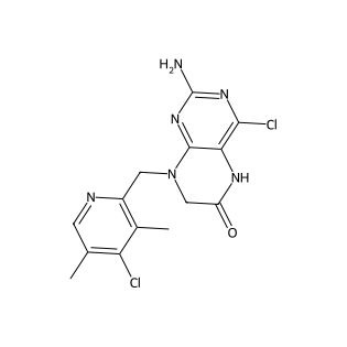 Cc1cnc(CN2CC(=O)Nc3c(Cl)nc(N)nc32)c(C)c1Cl